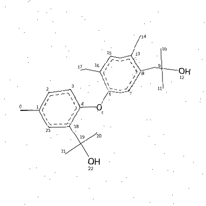 Cc1ccc(Oc2cc(C(C)(C)O)c(C)cc2C)c(C(C)(C)O)c1